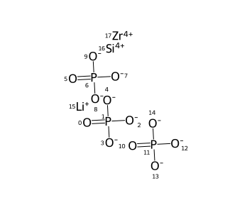 O=P([O-])([O-])[O-].O=P([O-])([O-])[O-].O=P([O-])([O-])[O-].[Li+].[Si+4].[Zr+4]